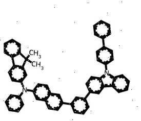 CC1(C)c2ccccc2-c2ccc(N(c3ccccc3)c3ccc4cc(-c5cccc(-c6ccc7c(c6)c6ccccc6n7-c6ccc(-c7ccccc7)cc6)c5)ccc4c3)cc21